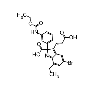 CCOC(=O)Nc1cccc(C2(C(=O)O)N=c3c(CC)cc(Br)cc3=C2C=CC(=O)O)c1